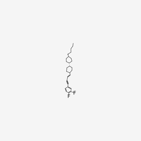 CCCCC[C@H]1CC[C@H](C2CCC(/C=C/C#Cc3ccc(F)c(F)c3)CC2)CC1